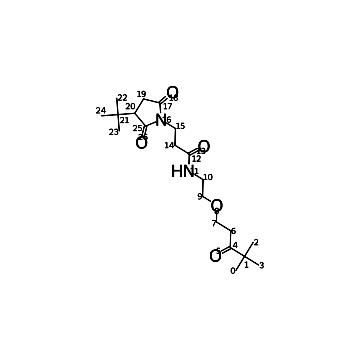 CC(C)(C)C(=O)CCOCCNC(=O)CCN1C(=O)CC(C(C)(C)C)C1=O